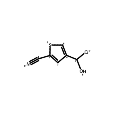 N#Cc1cc(C(O)Cl)cs1